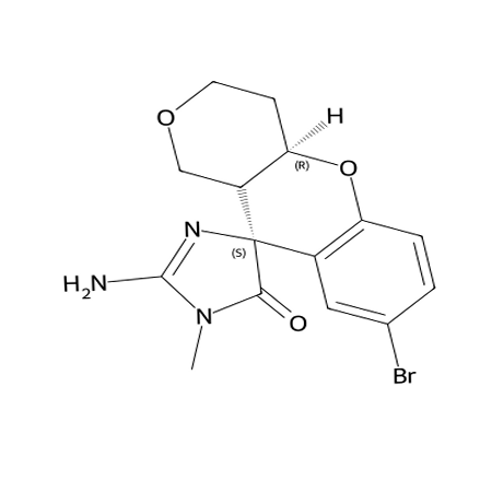 CN1C(=O)[C@@]2(N=C1N)c1cc(Br)ccc1O[C@@H]1CCOCC12